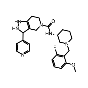 COc1cccc(F)c1CN1CCC[C@@H](NC(=O)N2CCC3=C(C2)C(c2ccncc2)NN3)C1